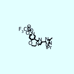 Cc1nc(-c2cn3c(n2)-c2cnc(OS(=O)(=O)C(F)(F)F)cc2OCC3)n(C(C)C)n1